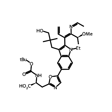 C=C/C(=C(\N=C/C)[C@H](C)OC)c1c(CC(C)(C)CO)c2cc(-c3cnc(C[C@H](NC(=O)OC(C)(C)C)C(=O)O)o3)ccc2n1CC